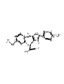 COc1ccc(Oc2sc(-c3ccc(Cl)cc3)nc2CC(=O)O)cc1